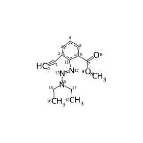 C#Cc1cccc(C(=O)OC)c1N=NN(CC)CC